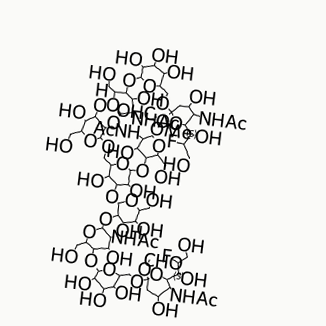 COC1OC(CO)C(OC2OC(COC3OC(CO)C(O)C(O)C3OC3OC(CO)C(OC4OC(COC5(OC=O)CC(O)C(NC(C)=O)C([C@H](O)C(F)CO)O5)C(O)C(O)C4O)C(O)C3NC(C)=O)C(O)C(OC3OC(CO)C(O)C(O)C3OC3OC(CO)C(OC4OC(COC5(OC=O)CC(O)C(NC(C)=O)C([C@H](O)C(F)CO)O5)C(O)C(O)C4O)C(O)C3NC(C)=O)C2O)C(O)C1NC(C)=O